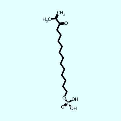 C=C(C)C(=O)CCCCCCCCCCCCOP(=O)(O)O